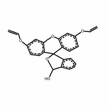 C=COc1ccc2c(c1)Oc1cc(OC=C)ccc1C21OC(O)c2ccccc21